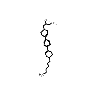 CCCCCCC1CC=C(c2ccc(C3=CCC(CC(C)CC)CC3)cc2)CC1